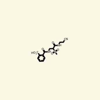 CS(=O)(=O)C(CNC(=O)c1ccccc1C(=O)O)C(=O)NCCC#N